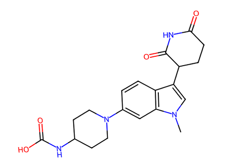 Cn1cc(C2CCC(=O)NC2=O)c2ccc(N3CCC(NC(=O)O)CC3)cc21